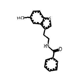 O=C(NCCc1csc2ccc(O)cc12)c1ccccc1